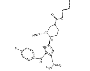 N#C[C@@H]1CN(C(=O)OCCF)CC[C@H]1n1cc(C(N)=O)c(Nc2ccc(F)cc2)n1